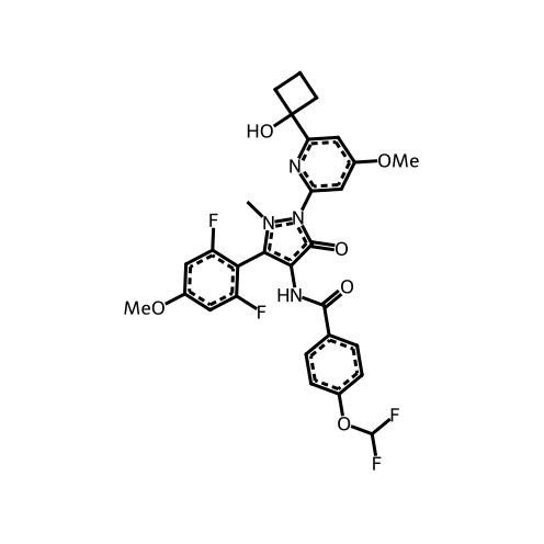 COc1cc(-n2c(=O)c(NC(=O)c3ccc(OC(F)F)cc3)c(-c3c(F)cc(OC)cc3F)n2C)nc(C2(O)CCC2)c1